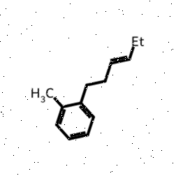 CC/C=C/CCc1ccccc1C